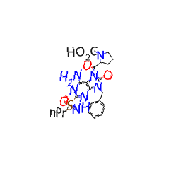 CCCS(=N)(=O)c1nc(N)c2c(n1)n(Cc1ccccc1)c(=O)n2C(=O)C1CCCN1C(=O)O